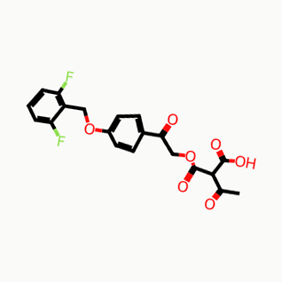 CC(=O)C(C(=O)O)C(=O)OCC(=O)c1ccc(OCc2c(F)cccc2F)cc1